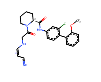 N=C/C=C\NCC(=O)N1CCCC[C@@H]1C(=O)Nc1ccc(-c2ccccc2OC(F)(F)F)c(Cl)c1